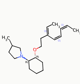 C\C=C/C=C\C(=C/C)CCO[C@@H]1CCCC[C@H]1N1CCC(C)C1